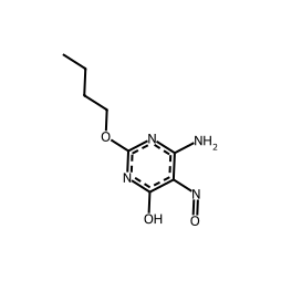 CCCCOc1nc(N)c(N=O)c(O)n1